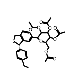 CCc1ccc([C@@H]2SCc3ccc(C4OC(COC(C)=O)C(OC(C)=O)C(OC(C)=O)C4OC(C)=O)cc32)cc1